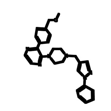 COCc1ccc(-c2nccnc2N2CCN(Cc3cnn(-c4ccccc4)c3)CC2)cc1